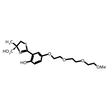 COCCOCCOCCOc1ccc(O)c(C2=N[C@@](C)(C(=O)O)CS2)c1